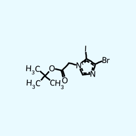 CC(C)(C)OC(=O)Cn1cnc(Br)c1I